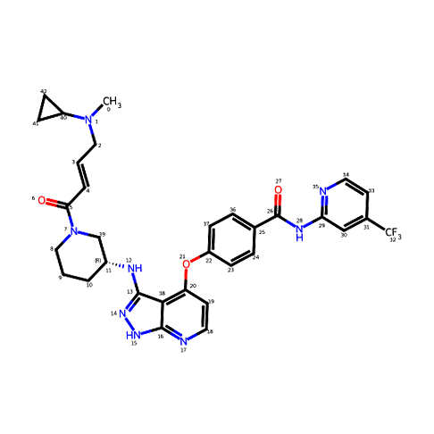 CN(CC=CC(=O)N1CCC[C@@H](Nc2n[nH]c3nccc(Oc4ccc(C(=O)Nc5cc(C(F)(F)F)ccn5)cc4)c23)C1)C1CC1